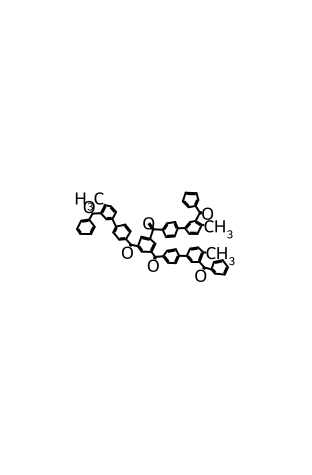 Cc1ccc(-c2ccc(C(=O)c3cc(C(=O)c4ccc(-c5ccc(C)c(C(=O)c6ccccc6)c5)cc4)cc(C(=O)c4ccc(-c5ccc(C)c(C(=O)c6ccccc6)c5)cc4)c3)cc2)cc1C(=O)c1ccccc1